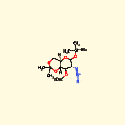 CCCCCCCCCCO[C@@H]1[C@@H](N=[N+]=[N-])[C@H](O[Si](C)(C)C(C)(C)C)O[C@@H]2COC(C)(C)O[C@@H]12